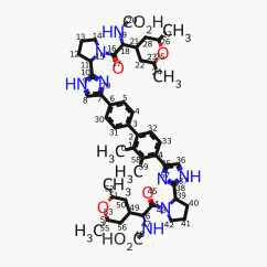 Cc1c(-c2ccc(-c3c[nH]c(C4CCCN4C(=O)C(NC(=O)O)C4CC(C)OC(C)C4)n3)cc2)ccc(-c2c[nH]c(C3CCCN3C(=O)[C@@H](NC(=O)O)C3C[C@@H](C)O[C@@H](C)C3)n2)c1C